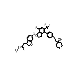 COC(=O)CC1COc2cc(O[C@@H]3CCc4c(-c5ccc(OCC6(O)CCOCC6)cc5)c(C(F)(F)F)cc(F)c43)ccc21